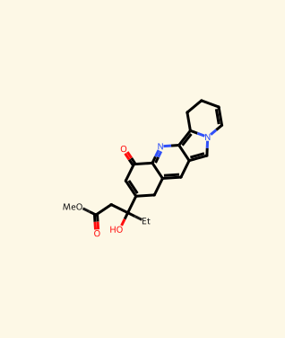 CCC(O)(CC(=O)OC)C1=CC(=O)c2nc3c4n(cc3cc2C1)C=CCC4